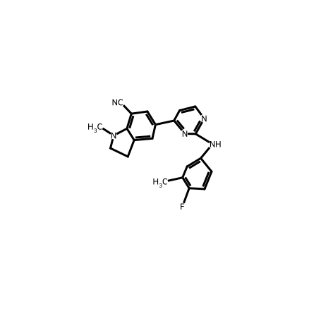 Cc1cc(Nc2nccc(-c3cc(C#N)c4c(c3)CCN4C)n2)ccc1F